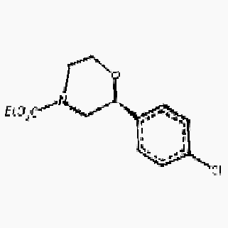 CCOC(=O)N1CCO[C@@H](c2ccc(Cl)cc2)C1